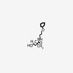 CC(C)(CCO)C(=O)NCCCCOc1ccccc1